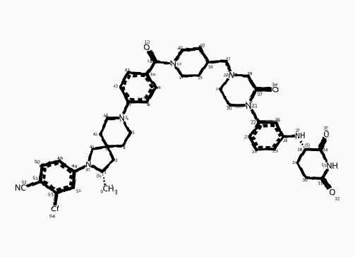 C[C@H]1CC2(CCN(c3ccc(C(=O)N4CCC(CN5CCN(c6cccc(N[C@H]7CCC(=O)NC7=O)c6)C(=O)C5)CC4)cc3)CC2)CN1c1ccc(C#N)c(Cl)c1